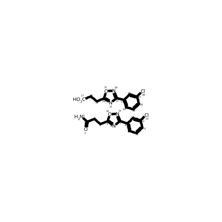 NC(=O)CCc1nc(-c2cccc(Cl)c2)no1.O=C(O)CCc1nc(-c2cccc(Cl)c2)no1